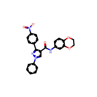 O=C(Nc1ccc2c(c1)OCCO2)c1cn(-c2ccccc2)nc1-c1ccc([N+](=O)[O-])cc1